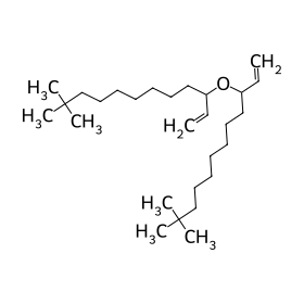 C=CC(CCCCCCCC(C)(C)C)OC(C=C)CCCCCCCC(C)(C)C